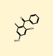 COc1cc(C)c(C(=O)c2ccccc2)c(O)c1